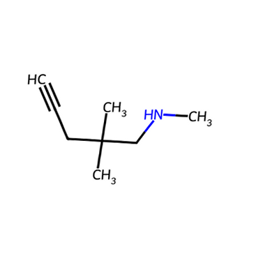 C#CCC(C)(C)CNC